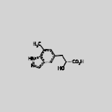 Cc1cc(C[C@@H](O)C(=O)O)cc2cn[nH]c12